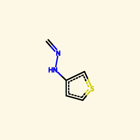 C=NNc1ccsc1